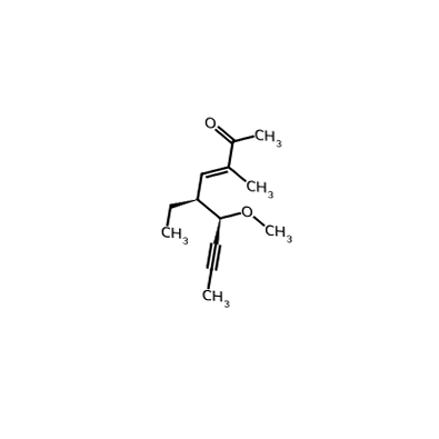 CC#C[C@H](OC)[C@H](/C=C(\C)C(C)=O)CC